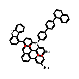 CC(C)(C)c1cc(-c2cccc3cccc(-c4ccccc4N(c4ccc(-c5ccc(-c6cccc7ccccc67)cc5)cc4)c4ccc(-c5cccc6sc7ccccc7c56)cc4)c23)cc(C(C)(C)C)c1